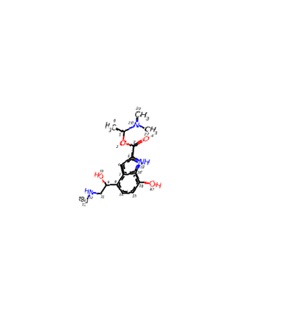 CC(OC(=O)c1cc2c(C(O)CNC(C)(C)C)ccc(O)c2[nH]1)N(C)C